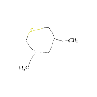 CC1CSCC(C)C1